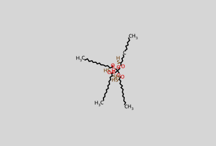 CCCCCCCCCCCCCC(S)C(=O)OCC(COC(=O)C(S)CCCCCCCCCCCCC)(COC(=O)C(S)CCCCCCCCCCCCC)COC(=O)C(S)CCCCCCCCCCCCC